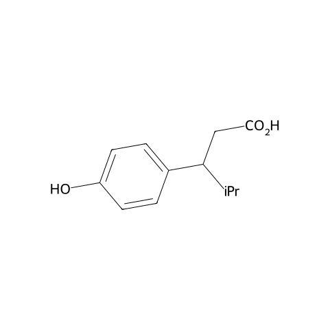 CC(C)C(CC(=O)O)c1ccc(O)cc1